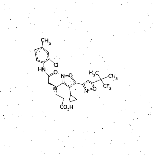 Cc1ccc(NC(=O)C[C@H](CCC(=O)O)c2noc(-c3cc(C(C)(C)C(F)(F)F)on3)c2C2CC2)c(Cl)c1